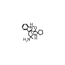 COC(=O)C1(NCC(C)(N)Cc2c[nH]c3ccccc23)CCCC1